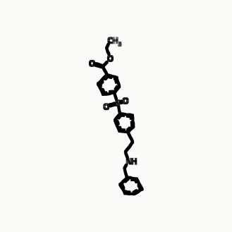 CCOC(=O)c1ccc(S(=O)(=O)c2ccc(CCNCc3ccccc3)cc2)cc1